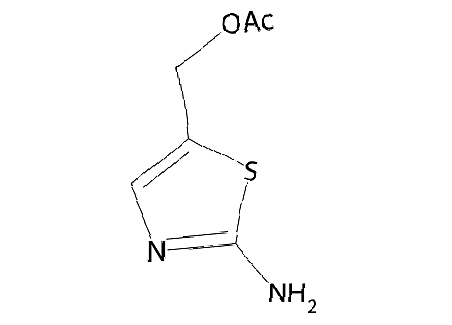 CC(=O)OCc1cnc(N)s1